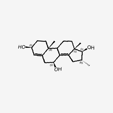 C[C@@H]1CC2=C3C(CC[C@]2(C)[C@H]1O)[C@@]1(C)CC[C@H](O)C=C1C[C@@H]3O